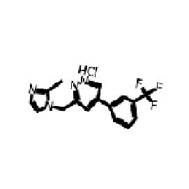 Cc1nccn1Cc1cc(-c2cccc(C(F)(F)F)c2)cnn1.Cl